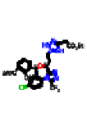 CCOC(=O)CC1=NNN(CC[C@@H]2O[C@@H](c3cccc(OC)c3OC)c3cc(Cl)ccc3-n3c2nnc3C(F)(F)F)N1